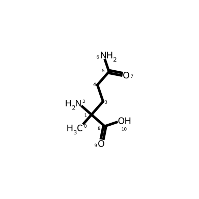 CC(N)(CCC(N)=O)C(=O)O